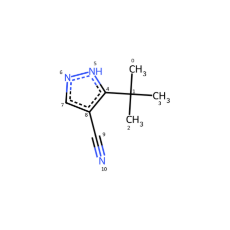 CC(C)(C)c1[nH]ncc1C#N